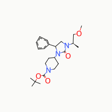 COC[C@@H](C)N1CC(c2ccccc2)N(C2CCN(C(=O)OC(C)(C)C)CC2)C1=O